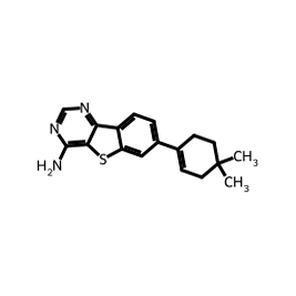 CC1(C)CC=C(c2ccc3c(c2)sc2c(N)ncnc23)CC1